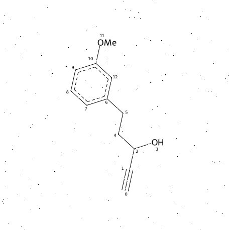 C#CC(O)CCc1cccc(OC)c1